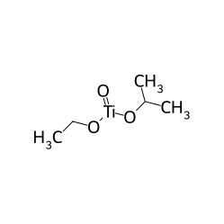 CC[O][Ti](=[O])[O]C(C)C